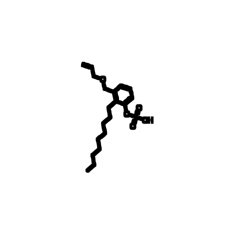 C=CCOCc1cccc(OS(=O)(=O)O)c1CCCCCCCCC